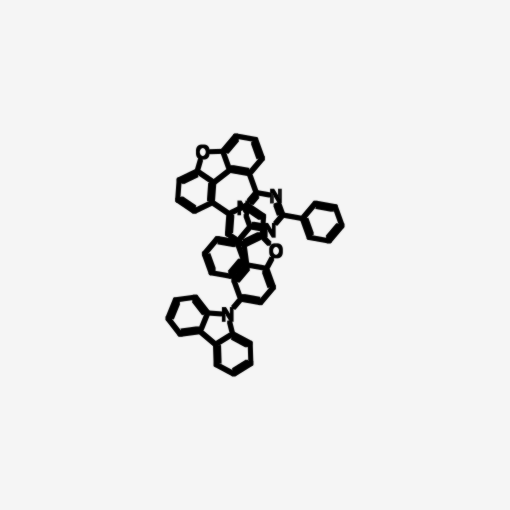 c1ccc(-c2nc(-c3ccccc3)nc(-c3cccc4oc5cccc(-c6ccc7oc8ccc(-n9c%10ccccc%10c%10ccccc%109)cc8c7c6)c5c34)n2)cc1